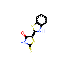 O=C1NC(=S)SC1=C1Nc2ccccc2S1